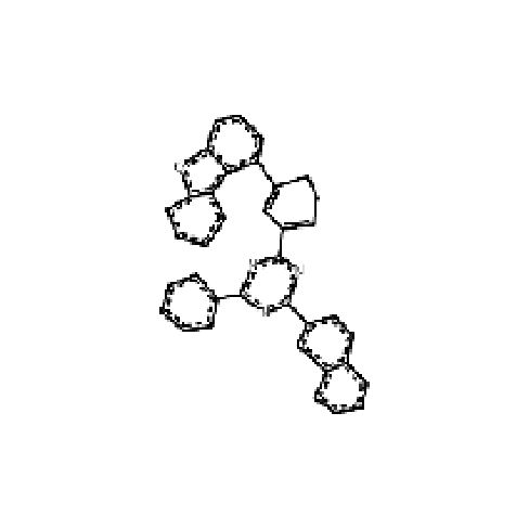 C1=C(c2nc(-c3ccccc3)nc(-c3ccc4ccccc4c3)n2)C=C(c2cccc3oc4ccccc4c23)CC1